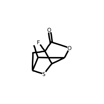 CC1C2CC3(F)C(=O)OC1C3S2